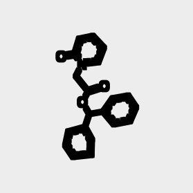 O=C(Cn1ccccc1=O)OC(c1ccccc1)c1ccccc1